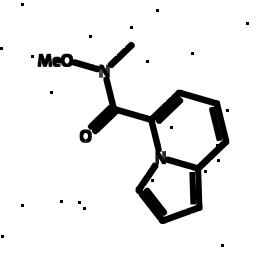 CON(C)C(=O)c1cccc2cccn12